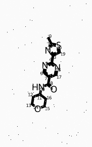 Cc1nc(-c2ncc(C(=O)NC3CCOCC3)cn2)cs1